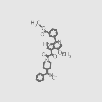 [C-]#[N+]C(=C1CCN(C(=O)C(=O)c2c[nH]c3c(-c4cccc(C(=O)OCC)c4)ncc(OC)c23)CC1)c1ccccc1